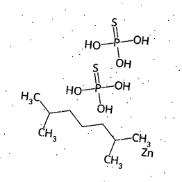 CC(C)CCCC(C)C.OP(O)(O)=S.OP(O)(O)=S.[Zn]